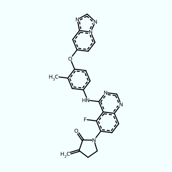 C=C1CCN(c2ccc3ncnc(Nc4ccc(Oc5ccn6ncnc6c5)c(C)c4)c3c2F)C1=O